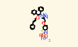 NS(=O)(=O)c1nc2ccc(OCc3cn(C(c4ccccc4)[C@@H](OC/C=C/c4ccccc4)c4ccccc4)nn3)cc2s1